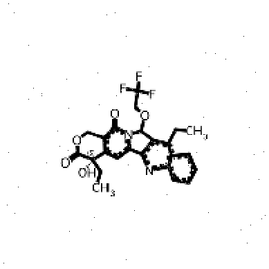 CCc1c2c(nc3ccccc13)-c1cc3c(c(=O)n1C2OCC(F)(F)F)COC(=O)[C@]3(O)CC